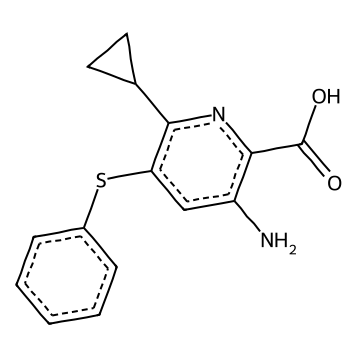 Nc1cc(Sc2ccccc2)c(C2CC2)nc1C(=O)O